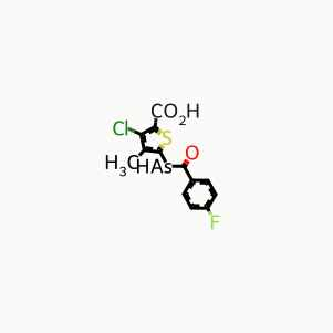 Cc1c([AsH]C(=O)c2ccc(F)cc2)sc(C(=O)O)c1Cl